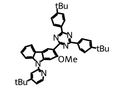 COc1cc2c(cc1-c1nc(-c3ccc(C(C)(C)C)cc3)nc(-c3ccc(C(C)(C)C)cc3)n1)c1ccccc1n2-c1cc(C(C)(C)C)ccn1